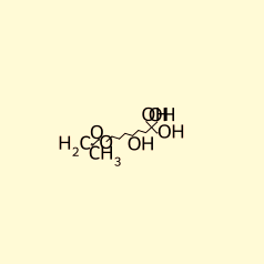 C=C(C)C(=O)OCCCC(O)CCC(CO)(CO)CO